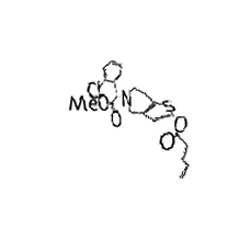 C=C/C=C/C(=O)Oc1cc2c(s1)CCN([C@H](C(=O)OC)c1ccccc1Cl)C2